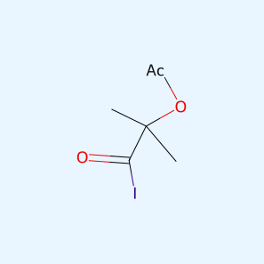 CC(=O)OC(C)(C)C(=O)I